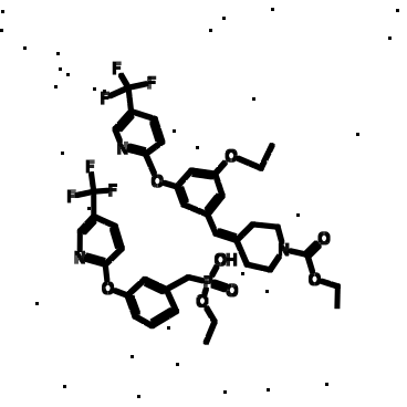 CCOC(=O)N1CCC(=Cc2cc(OCC)cc(Oc3ccc(C(F)(F)F)cn3)c2)CC1.CCOP(=O)(O)Cc1cccc(Oc2ccc(C(F)(F)F)cn2)c1